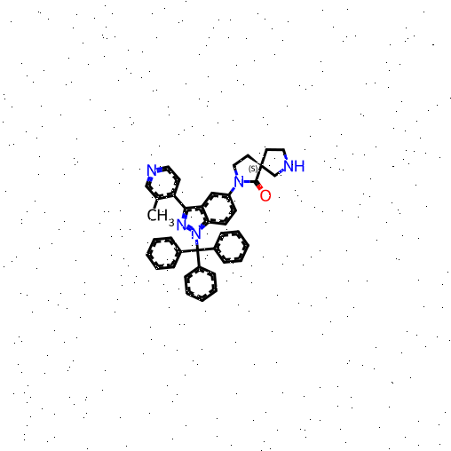 Cc1cnccc1-c1nn(C(c2ccccc2)(c2ccccc2)c2ccccc2)c2ccc(N3CC[C@]4(CCNC4)C3=O)cc12